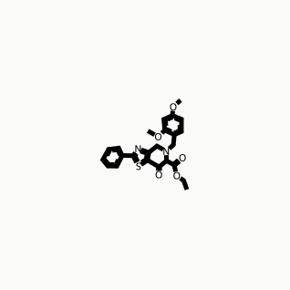 CCOC(=O)C1C(=O)c2sc(-c3ccccc3)nc2CN1Cc1ccc(OC)cc1OC